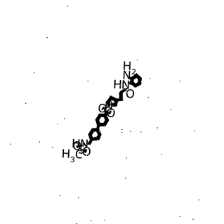 CS(=O)(=O)NCc1ccc(-c2ccc(S(=O)(=O)n3ccc(/C=C/C(=O)Nc4ccccc4N)c3)cc2)cc1